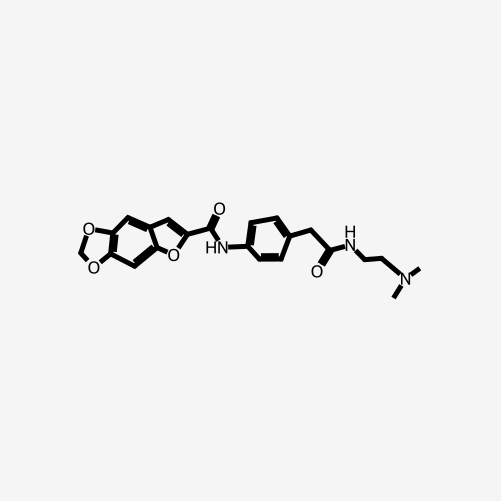 CN(C)CCNC(=O)Cc1ccc(NC(=O)c2cc3cc4c(cc3o2)OCO4)cc1